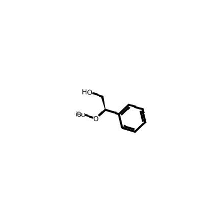 CCC(C)O[C@@H](CO)c1ccccc1